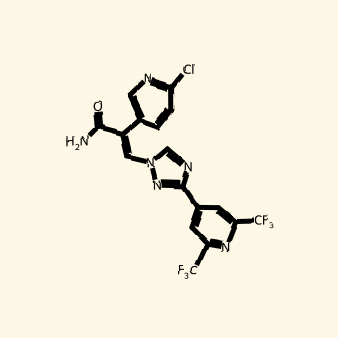 NC(=O)/C(=C/n1cnc(-c2cc(C(F)(F)F)nc(C(F)(F)F)c2)n1)c1ccc(Cl)nc1